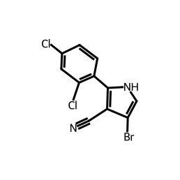 N#Cc1c(Br)c[nH]c1-c1ccc(Cl)cc1Cl